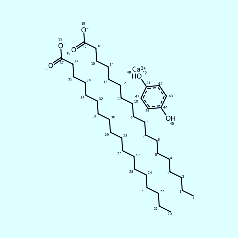 CCCCCCCCCCCCCCCCCC(=O)[O-].CCCCCCCCCCCCCCCCCC(=O)[O-].Oc1ccc(O)cc1.[Ca+2]